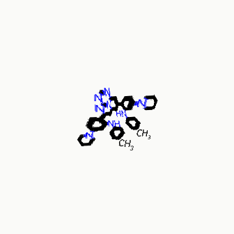 Cc1ccc(Nc2cc(N3CCCCC3)ccc2C2=CC3=NC=NC4=NC(c5ccc(N6CCCCC6)cc5Nc5ccc(C)cc5)=CC(=C2)N34)cc1